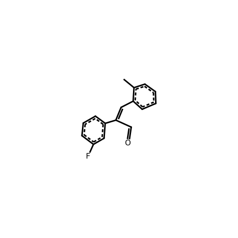 Cc1ccccc1C=C(C=O)c1cccc(F)c1